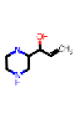 C=CC(O)C1CNCC[N]1